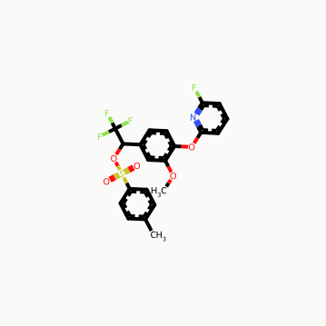 COc1cc(C(OS(=O)(=O)c2ccc(C)cc2)C(F)(F)F)ccc1Oc1cccc(F)n1